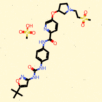 CC(C)(C)c1cc(NC(=O)Nc2ccc(NC(=O)c3ccc(OC4CCN(CCS(C)(=O)=O)C4)cn3)cc2)no1.CS(=O)(=O)O